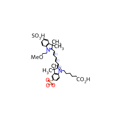 COCC[N+]1=C(/C=C/C=C/C=C2/N(CCCCCC(=O)O)c3ccc(S(=O)(=O)[O-])cc3C2(C)C)C(C)(C)c2cc(S(=O)(=O)O)ccc21